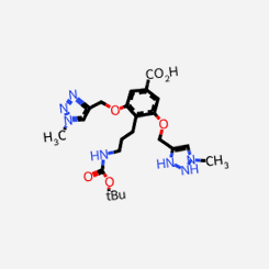 CN1C=C(COc2cc(C(=O)O)cc(OCc3cn(C)nn3)c2CCCNC(=O)OC(C)(C)C)NN1